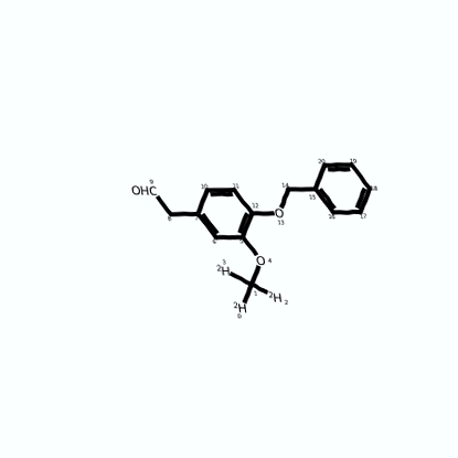 [2H]C([2H])([2H])Oc1cc(CC=O)ccc1OCc1ccccc1